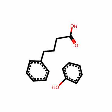 O=C(O)CCCc1ccccc1.Oc1ccccc1